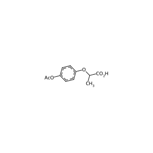 CC(=O)Oc1ccc(OC(C)C(=O)O)cc1